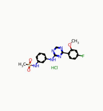 COc1cc(F)ccc1-c1ncnc(Nc2cccc(NS(C)(=O)=O)c2)n1.Cl